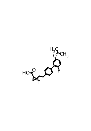 CC(C)Oc1ccc(F)c(-c2ccc(CC[C@@]3(F)CC3C(=O)O)cc2)c1